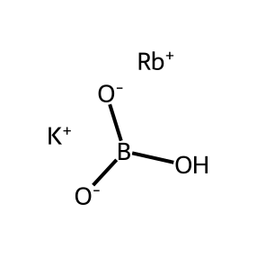 [K+].[O-]B([O-])O.[Rb+]